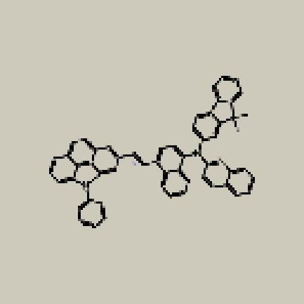 CC1(C)c2ccccc2-c2ccc(N(c3ccc4ccccc4n3)c3ccc(/C=C/c4cc5ccc6cccc7c6c5c(c4)n7-c4ccccc4)c4ccccc34)cc21